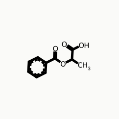 CC(OC(=O)c1ccccc1)C(=O)O